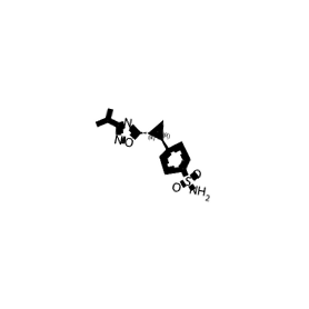 CC(C)c1noc([C@@H]2C[C@H]2c2ccc(S(N)(=O)=O)cc2)n1